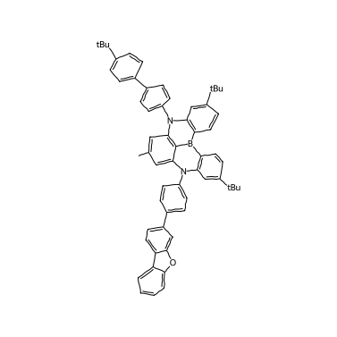 Cc1cc2c3c(c1)N(c1ccc(-c4ccc5c(c4)oc4ccccc45)cc1)c1cc(C(C)(C)C)ccc1B3c1ccc(C(C)(C)C)cc1N2c1ccc(-c2ccc(C(C)(C)C)cc2)cc1